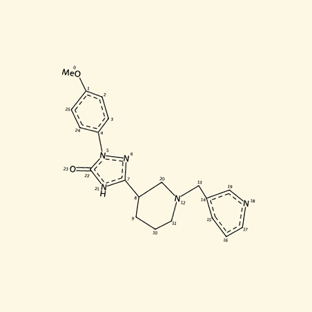 COc1ccc(-n2nc(C3CCCN(Cc4cccnc4)C3)[nH]c2=O)cc1